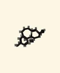 CC[C@@]12CCC(=O)C=C1CCCc1cc(C)ccc12